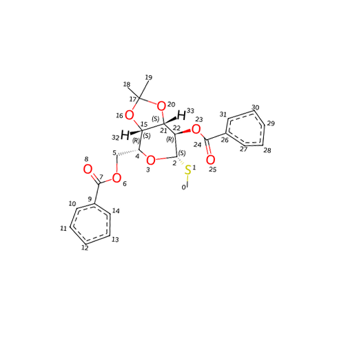 CS[C@@H]1O[C@H](COC(=O)c2ccccc2)[C@@H]2OC(C)(C)O[C@@H]2[C@H]1OC(=O)c1ccccc1